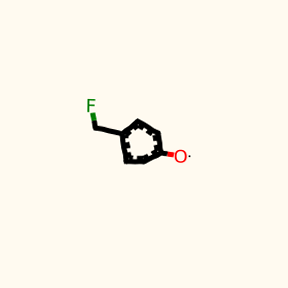 [O]c1ccc(CF)cc1